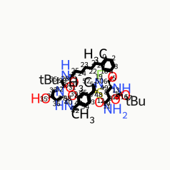 Cc1ccc(OC[C@H](CCC(N)=O)NC(=O)OC(C)(C)C)c(F)c1CCCCCC(=O)N[C@H](C(=O)N1C[C@H](O)C[C@H]1C(=O)N[C@@H](C)c1ccc(-c2scnc2C)cc1)C(C)(C)C